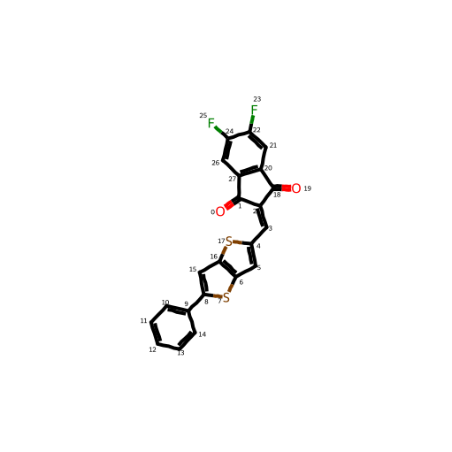 O=C1C(=Cc2cc3sc(-c4ccccc4)cc3s2)C(=O)c2cc(F)c(F)cc21